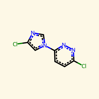 Clc1cn(-c2ccc(Cl)nn2)cn1